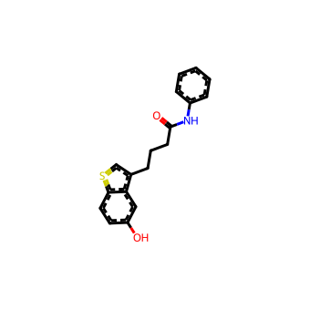 O=C(CCCc1csc2ccc(O)cc12)Nc1ccccc1